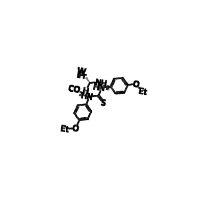 CC(C)[C@H](N)C(=O)O.CCOc1ccc(NC(=S)Nc2ccc(OCC)cc2)cc1.[W]